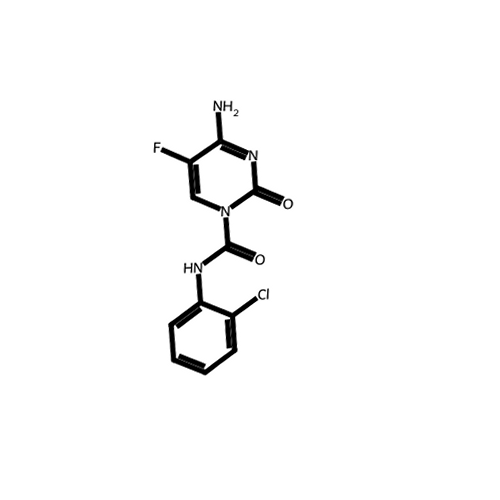 Nc1nc(=O)n(C(=O)Nc2ccccc2Cl)cc1F